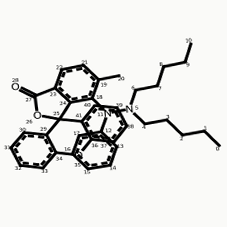 CCCCCN(CCCCC)N(c1ccccc1)c1c(C)ccc2c1C1(OC2=O)c2ccccc2Oc2ccccc21